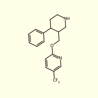 FC(F)(F)c1ccc(OCC2CNCCC2c2ccccc2)nc1